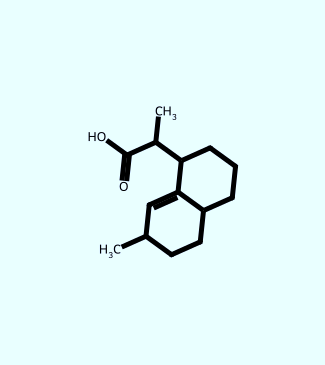 CC1C=C2C(CCCC2C(C)C(=O)O)CC1